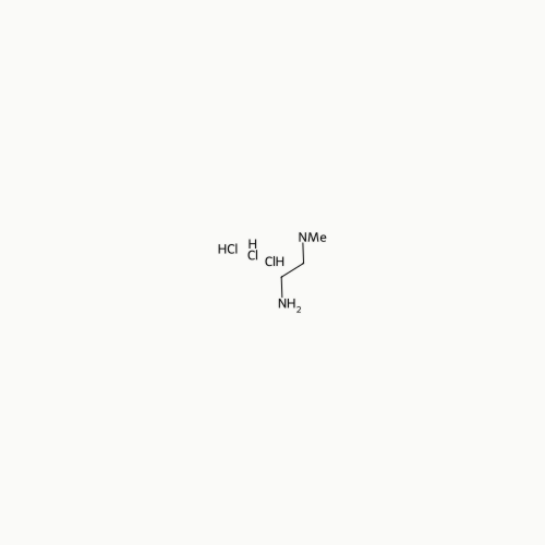 CNCCN.Cl.Cl.Cl